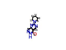 O=c1[nH]ncc2nc(N3CCCCC3)ncc12